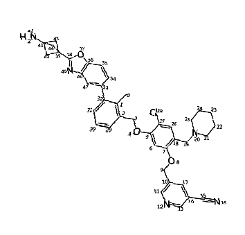 Cc1c(COc2cc(OCc3cncc(C#N)c3)c(CN3CCCCC3)cc2Cl)cccc1-c1ccc2oc(C34CC(N)(C3)C4)nc2c1